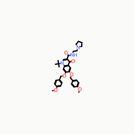 COc1ccc(COc2cc3c(=O)c(C(=O)NCCN4CCCC4)cn(C(C)(C)C)c3cc2OCc2ccc(OC)cc2)cc1